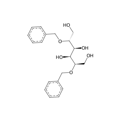 OC[C@@H](OCc1ccccc1)[C@@H](O)[C@H](O)[C@@H](CO)OCc1ccccc1